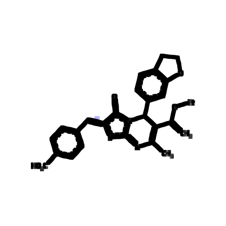 C=C(OCC)C1=C(C)N=c2s/c(=C\c3ccc(C(=O)O)cc3)c(=O)n2C1c1ccc2c(c1)OCC2